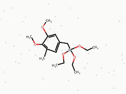 CCO[Si](Cc1cc(C)c(OC)c(OC)c1)(OCC)OCC